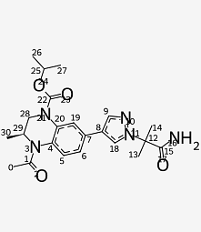 CC(=O)N1c2ccc(-c3cnn(C(C)(C)C(N)=O)c3)cc2N(C(=O)OC(C)C)C[C@@H]1C